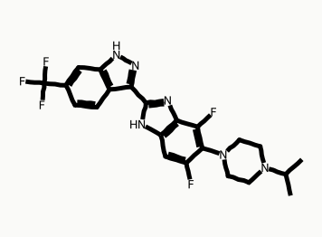 CC(C)N1CCN(c2c(F)cc3[nH]c(-c4n[nH]c5cc(C(F)(F)F)ccc45)nc3c2F)CC1